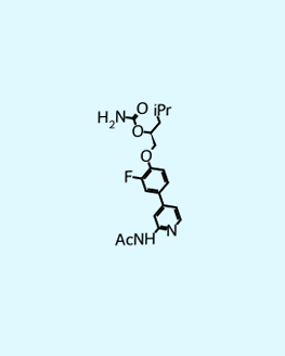 CC(=O)Nc1cc(-c2ccc(OC[C@H](CC(C)C)OC(N)=O)c(F)c2)ccn1